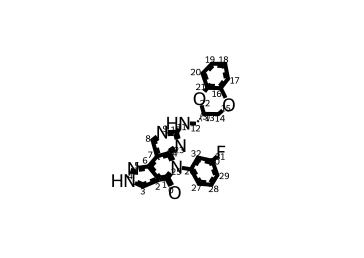 O=c1c2c[nH]nc2c2cnc(NC[C@H]3COc4ccccc4O3)nc2n1-c1cccc(F)c1